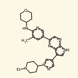 CCN1CCC(n2cc(-c3c[nH]c4ncc(-c5cnc(NC6CCOCC6)c(C)c5)nc34)cn2)CC1